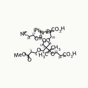 COC(=O)CCOCC(COCCC(=O)O)(COP(OCCC#N)N(C(C)C)C(C)C)C(C)(C)OCCC(=O)O